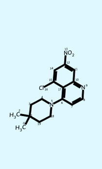 CC1(C)CCN(c2ccnc3cc([N+](=O)[O-])cc(Cl)c23)CC1